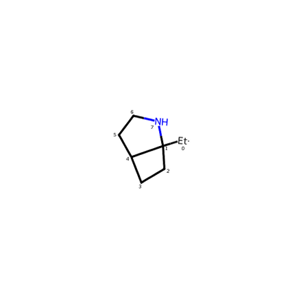 C[CH]C12CCC1CCN2